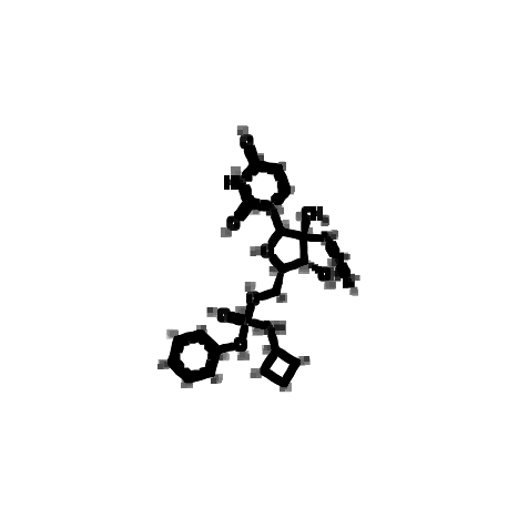 C[C@]1(N=[N+]=[N-])C(n2ccc(=O)[nH]c2=O)O[C@H](COP(=O)(NC2CCC2)Oc2ccccc2)[C@H]1O